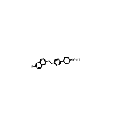 CCCCCC1CCC(c2ccc(CCc3ccc4cc(F)ccc4c3)cc2)CC1